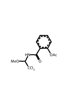 COC(NC(=O)c1ccccc1OC(C)=O)C(Cl)(Cl)Cl